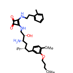 COCCCOc1cc(C[C@@H](C[C@H](N)[C@@H](O)CNc2c(NCCc3ccccc3C)c(=O)c2=O)C(C)C)ccc1OC